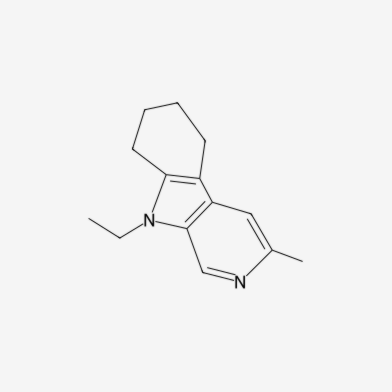 CCn1c2c(c3cc(C)ncc31)CCCC2